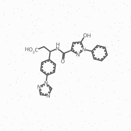 O=C(O)CC(NC(=O)c1cc(O)n(-c2ccccc2)n1)c1ccc(-n2cncn2)cc1